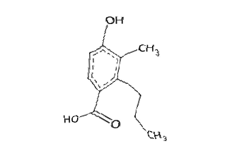 CCCc1c(C(=O)O)ccc(O)c1C